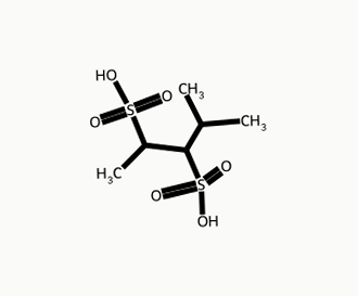 CC(C)C(C(C)S(=O)(=O)O)S(=O)(=O)O